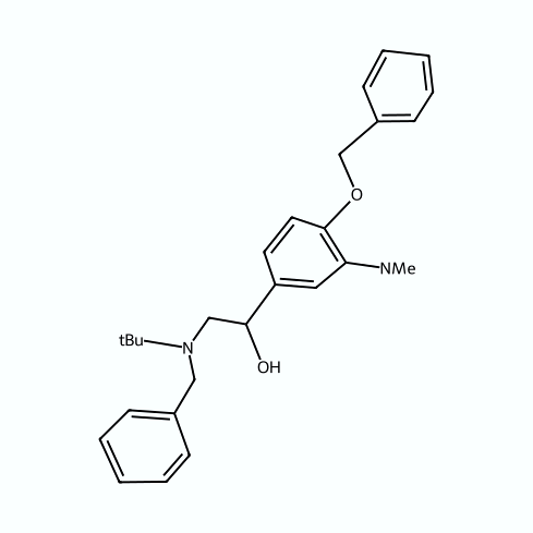 CNc1cc(C(O)CN(Cc2ccccc2)C(C)(C)C)ccc1OCc1ccccc1